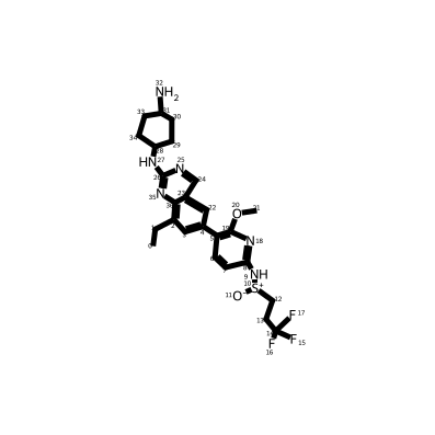 CCc1cc(-c2ccc(N[S+]([O-])CCC(F)(F)F)nc2OC)cc2cnc(NC3CCC(N)CC3)nc12